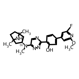 COc1cc(-c2ccc(-c3ncc(N(C)[C@H]4C[C@]5(C)CC[C@](C)(C4)N5)nn3)c(O)c2)cc(F)n1